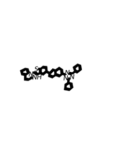 C1=CC2Nc3c(sc4ccc(-c5ccc6cc(-c7nc(-c8ccccc8)nc(-c8ccccc8)n7)ccc6c5)cc34)N2c2ccccc21